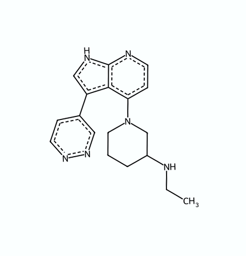 CCNC1CCCN(c2ccnc3[nH]cc(-c4ccnnc4)c23)C1